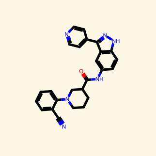 N#Cc1ccccc1N1CCCC(C(=O)Nc2ccc3[nH]nc(-c4ccncc4)c3c2)C1